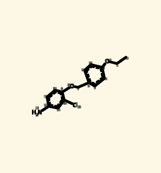 CCOc1ccc(COc2ccc(N)cc2Cl)cc1